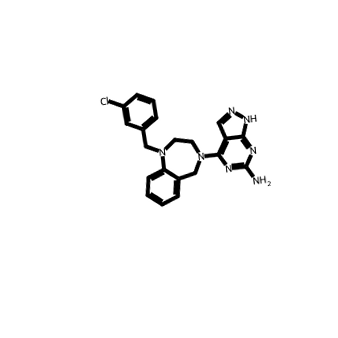 Nc1nc(N2CCN(Cc3cccc(Cl)c3)c3ccccc3C2)c2cn[nH]c2n1